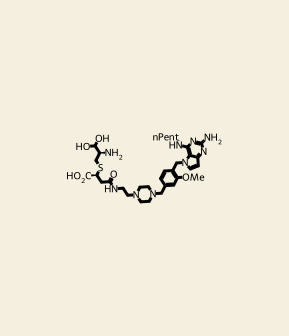 CCCCCNc1nc(N)nc2ccn(Cc3ccc(CN4CCN(CCNC(=O)C[C@H](SC[C@H](N)C(O)O)C(=O)O)CC4)cc3OC)c12